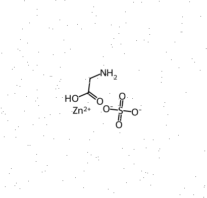 NCC(=O)O.O=S(=O)([O-])[O-].[Zn+2]